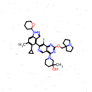 Cc1cc2c(cnn2C2CCCCO2)c(-c2ncc3c(N4CCCC(C)(O)C4)nc(OCC45CCCN4CCC5)nc3c2F)c1C1CC1